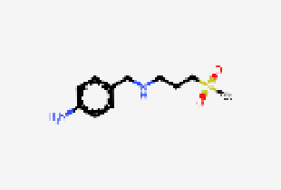 CCS(=O)(=O)CCCNCc1ccc(N)cc1